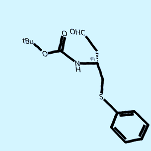 CC(C)(C)OC(=O)N[C@H](CC=O)CSc1ccccc1